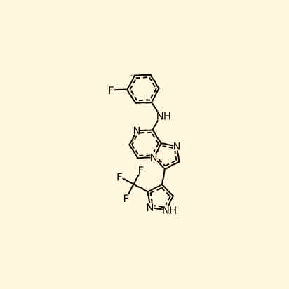 Fc1[c]ccc(Nc2nccn3c(-c4c[nH]nc4C(F)(F)F)cnc23)c1